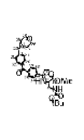 COC(=O)C(CNC(=O)OC(C)(C)C)NC(=O)c1ccc(C(=O)c2ccc(CN3CCOCC3)cc2)cc1